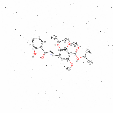 COc1cc(/C=C/C(=O)c2ccccc2O)c(OC(C)C)c(OC)c1C(=O)OC(C)C